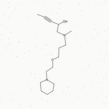 CC#CC(O)CN(C)CCCOCCN1CCCCC1